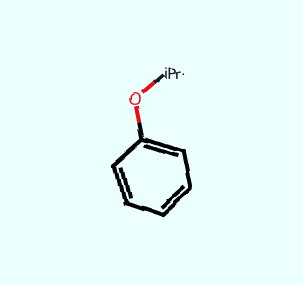 C[C](C)Oc1ccccc1